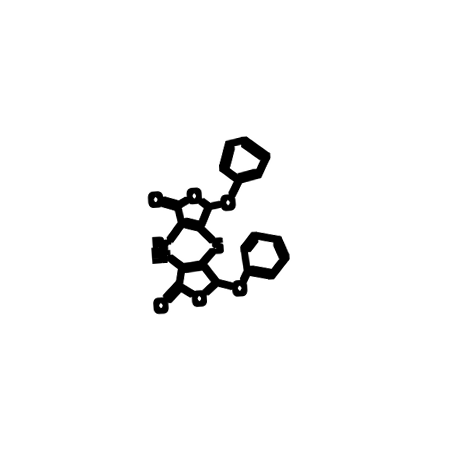 O=C1OC(Oc2ccccc2)C(SC2=C(Br)C(=O)OC2Oc2ccccc2)=C1Br